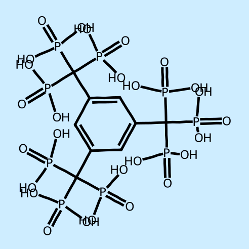 O=P(O)(O)C(c1cc(C(P(=O)(O)O)(P(=O)(O)O)P(=O)(O)O)cc(C(P(=O)(O)O)(P(=O)(O)O)P(=O)(O)O)c1)(P(=O)(O)O)P(=O)(O)O